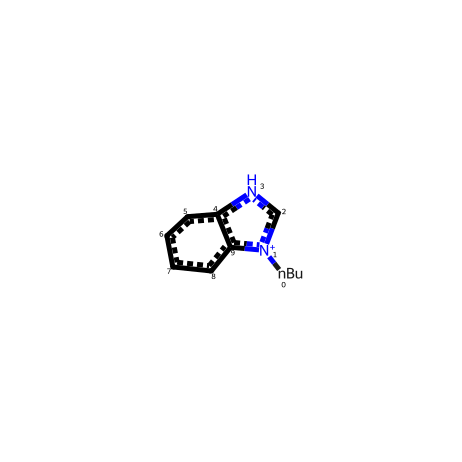 CCCC[n+]1c[nH]c2ccccc21